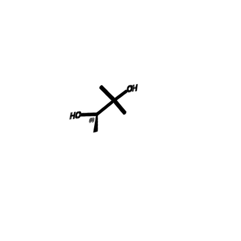 C[C@@H](O)C(C)(C)O